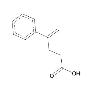 C=C(CCC(=O)O)c1ccccc1